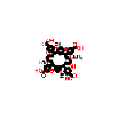 COc1cc(O)c2cc1C(c1ccc(C(=O)O)cc1)c1cc(c(OC)cc1O)C(c1ccc(C(=O)O)cc1)c1cc(c(OC)cc1O)C(c1ccc(C(=O)O)cc1)c1cc(c(OC)cc1O)C2c1ccc(C(=O)O)cc1